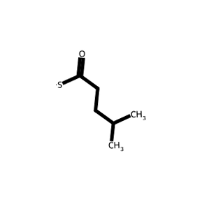 CC(C)CCC(=O)[S]